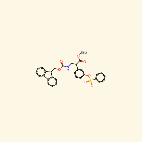 CC(C)(C)OC(=O)C(CNC(=O)OCC1c2ccccc2-c2ccccc21)c1cccc(OS(=O)(=O)c2ccccc2)c1